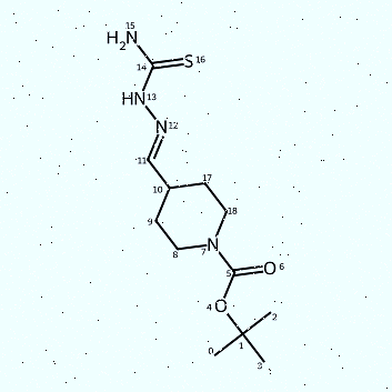 CC(C)(C)OC(=O)N1CCC(C=NNC(N)=S)CC1